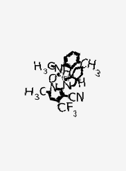 Cc1cccc(N(C)C(=O)[C@@H]2[C@@H]3CCC[C@@H]3CN2c2nc(C)cc(C(F)(F)F)c2C#N)c1